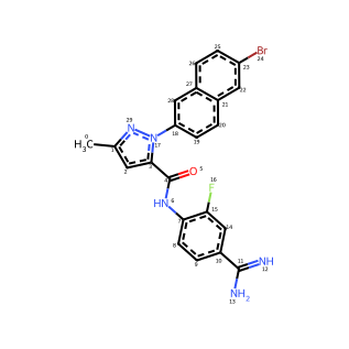 Cc1cc(C(=O)Nc2ccc(C(=N)N)cc2F)n(-c2ccc3cc(Br)ccc3c2)n1